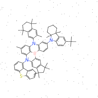 Cc1cc2c3c(c1)N(c1cccc4sc5ccccc5c14)c1cc4c(cc1B3c1ccc(N3c5ccc(C(C)(C)C)cc5C5(C)CCCCC35C)cc1N2c1cc2c(cc1C)C(C)(C)CCC2(C)C)C(C)(C)CC4(C)C